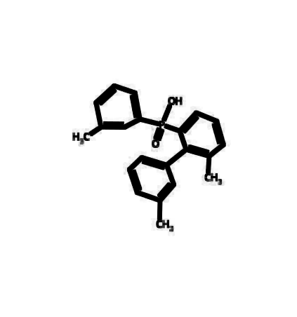 Cc1cccc(-c2c(C)cccc2P(=O)(O)c2cccc(C)c2)c1